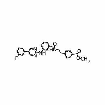 COC(=O)c1ccc(CCNC(=O)c2cccc(Nc3ncc(-c4cccc(F)c4)cn3)c2)cc1